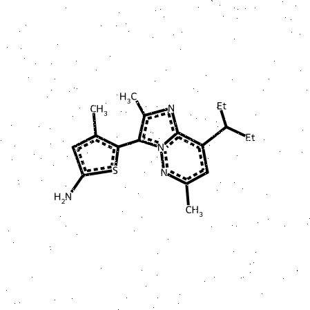 CCC(CC)c1cc(C)nn2c(-c3sc(N)cc3C)c(C)nc12